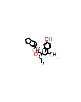 CC(CC(C)(C)C(=O)OC1(C)CC2CC1C1CCCC21)c1ccc(O)cc1